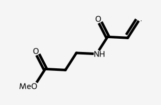 [CH]=CC(=O)NCCC(=O)OC